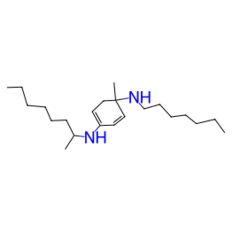 CCCCCCCNC1(C)C=CC(NC(C)CCCCCC)=CC1